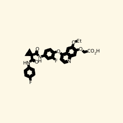 CCOc1cc2c(Oc3ccc(NC(=O)C4(C(=O)Nc5ccc(F)cc5)CC4)cc3F)ccnc2cc1OCC(=O)O